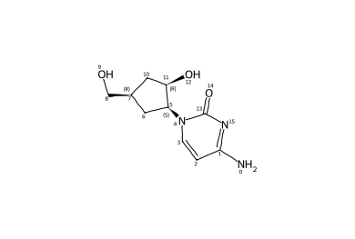 Nc1ccn([C@H]2C[C@@H](CO)C[C@H]2O)c(=O)n1